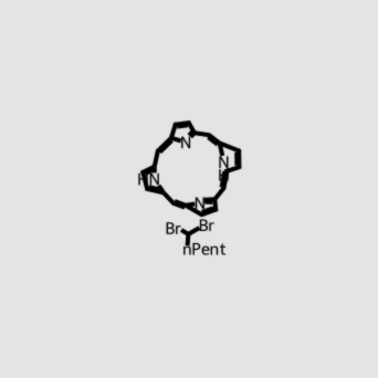 C1=Cc2cc3ccc(cc4nc(cc5ccc(cc1n2)[nH]5)C=C4)[nH]3.CCCCCC(Br)Br